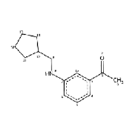 CC(=O)c1cccc(NCC2CCCC2)c1